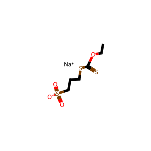 CCOC(=S)SCCCS(=O)(=O)[O-].[Na+]